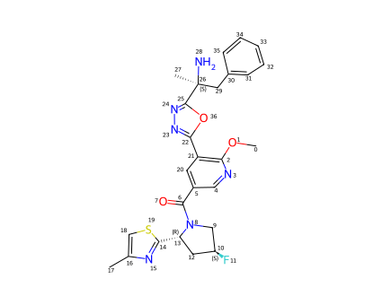 COc1ncc(C(=O)N2C[C@@H](F)C[C@@H]2c2nc(C)cs2)cc1-c1nnc([C@@](C)(N)Cc2ccccc2)o1